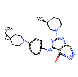 N#C[C@H]1CCCN(c2nc(Nc3ccc(N4CCC5(CC4)CC5C(=O)O)cc3)c3c(=O)[nH]ncc3n2)C1